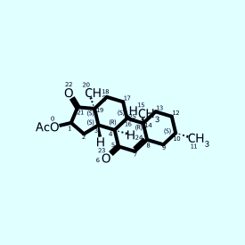 CC(=O)OC1C[C@H]2[C@@H]3C(=O)C=C4C[C@@H](C)CC[C@]4(C)[C@H]3CC[C@]2(C)C1=O